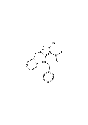 O=[N+]([O-])c1c(Br)nn(Cc2ccccc2)c1NCc1ccccc1